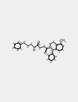 Cc1cccc2c1CCN(C(=O)CCC(=O)NCCCc1ccccc1)C2c1ccccc1